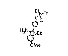 CCN(CC)C(=O)Oc1ccc(-c2c(N)c3ccc(OC)cc3n2CC)cc1